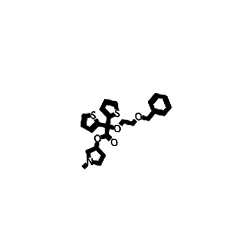 CN1CCC(OC(=O)C(OCCOCc2ccccc2)(c2cccs2)c2cccs2)C1